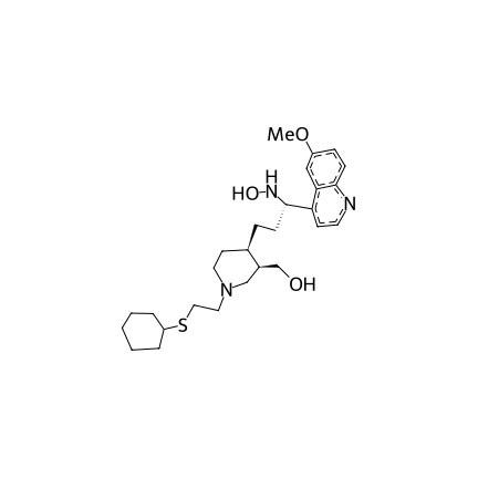 COc1ccc2nccc([C@H](CC[C@@H]3CCN(CCSC4CCCCC4)C[C@@H]3CO)NO)c2c1